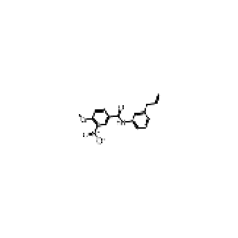 C=CCc1cccc(NC(=O)c2ccc(OC)c([N+](=O)[O-])c2)c1